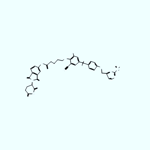 CC(C)(c1ccc(OCc2ccnc(S(C)(=O)=O)n2)cc1)c1cc(Cl)c(OCCCCC(=O)Nc2ccc3c(c2)C(=O)N(C2CCC(=O)NC2=O)C3=O)c(C#N)c1